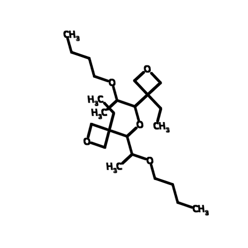 CCCCOC(C)C(OC(C(C)OCCCC)C1(CC)COC1)C1(CC)COC1